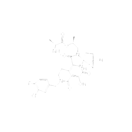 C[C@H](N)C(=O)O[C@@H](C)CN1C(=O)c2c3c(c(O)c(=O)n2[C@@]12CC[C@H]1C[C@H]12)C(=O)N(Cc1ccc(F)c(Cl)c1)CC3